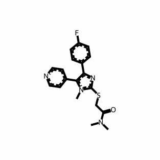 CN(C)C(=O)CSc1nc(-c2ccc(F)cc2)c(-c2ccncc2)n1C